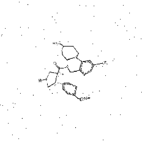 COc1ccc([C@@H]2CN(C(C)(C)C)C[C@@]2(F)C(=O)N(C)Cc2ccc(C(F)(F)F)cc2N2CCC(C(=O)O)CC2)cc1